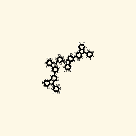 c1ccc(C2c3ccccc3-c3cc(-c4ccc5c(c4)c4ccccc4n5-c4cccc(-n5c6ccccc6c6cc(-c7ccc8c(c7)-c7ccccc7C8c7ccccc7)ccc65)c4)ccc32)cc1